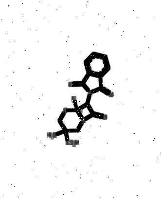 CC1(C(=O)O)CS[C@@H]2C(N3C(=O)c4ccccc4C3=O)C(=O)N2C1